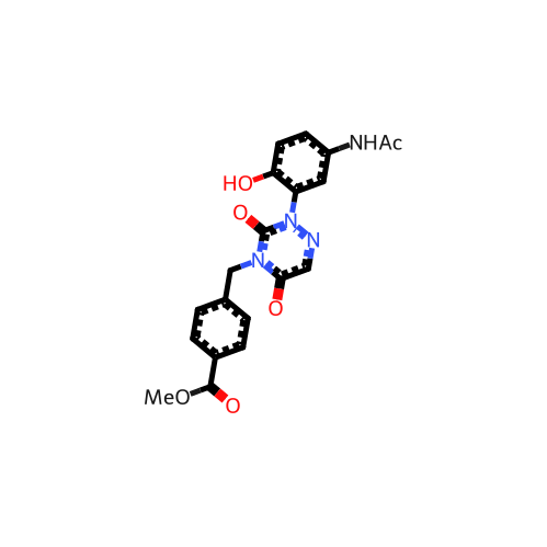 COC(=O)c1ccc(Cn2c(=O)cnn(-c3cc(NC(C)=O)ccc3O)c2=O)cc1